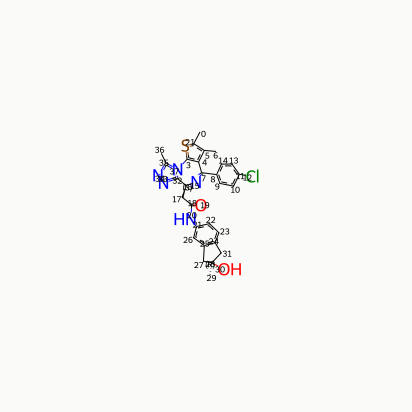 Cc1sc2c(c1C)C(c1ccc(Cl)cc1)=N[C@@H](CC(=O)Nc1ccc3c(c1)C[C@](C)(O)C3)c1nnc(C)n1-2